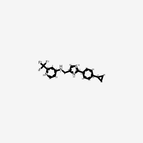 FC(F)(F)c1cc(NCc2csc(-c3ccc(C4CC4)cc3)n2)ccn1